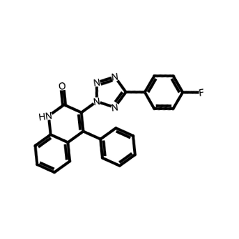 O=c1[nH]c2ccccc2c(-c2ccccc2)c1-n1nnc(-c2ccc(F)cc2)n1